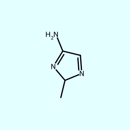 CC1N=CC(N)=N1